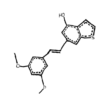 COc1cc(C=Cc2cc(O)c3ccsc3c2)cc(OC)c1